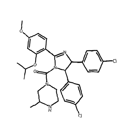 COc1ccc(C2=NC(c3ccc(Cl)cc3)C(c3ccc(Cl)cc3)N2C(=O)N2CCNC(C)C2)c(OC(C)C)c1